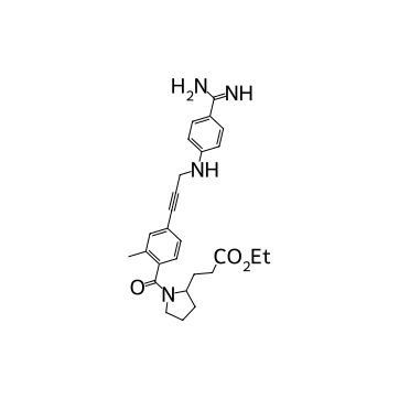 CCOC(=O)CCC1CCCN1C(=O)c1ccc(C#CCNc2ccc(C(=N)N)cc2)cc1C